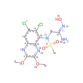 COc1nc2cc(Cl)c(Cl)c(N(C/C(N)=N\O)S(C)(=O)=O)c2nc1OC